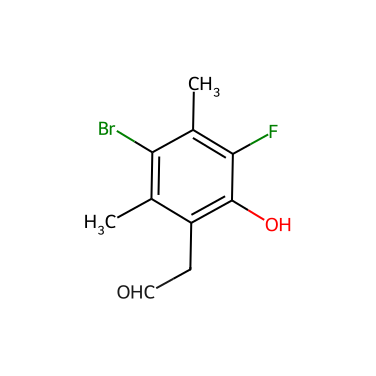 Cc1c(F)c(O)c(CC=O)c(C)c1Br